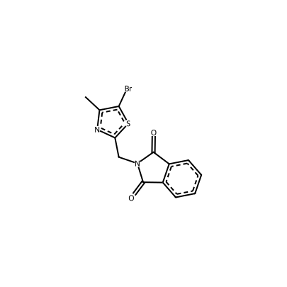 Cc1nc(CN2C(=O)c3ccccc3C2=O)sc1Br